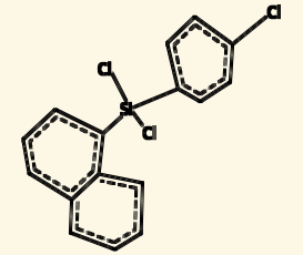 Clc1ccc([Si](Cl)(Cl)c2cccc3ccccc23)cc1